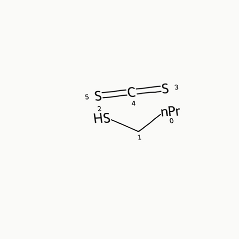 CCCCS.S=C=S